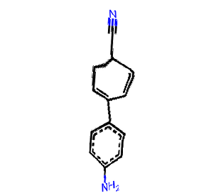 N#CC1C=CC(c2ccc(N)cc2)=CC1